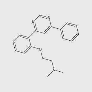 CN(C)CCOc1ccccc1-c1cc(-c2ccccc2)ncn1